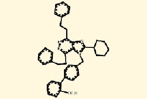 O=C(O)c1ccccc1-c1ccc(Cn2c(C3CCCCC3)nc3c(CCc4ccccc4)nnc(CCc4ccccc4)c32)cc1